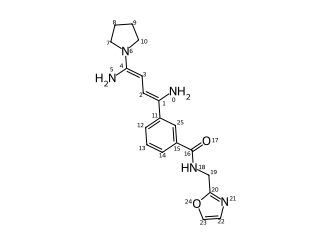 N/C(=C\C=C(/N)N1CCCC1)c1cccc(C(=O)NCc2ncco2)c1